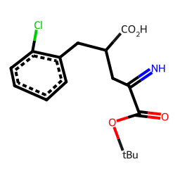 CC(C)(C)OC(=O)C(=N)CC(Cc1ccccc1Cl)C(=O)O